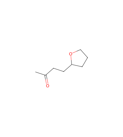 CC(=O)CCC1CCCO1